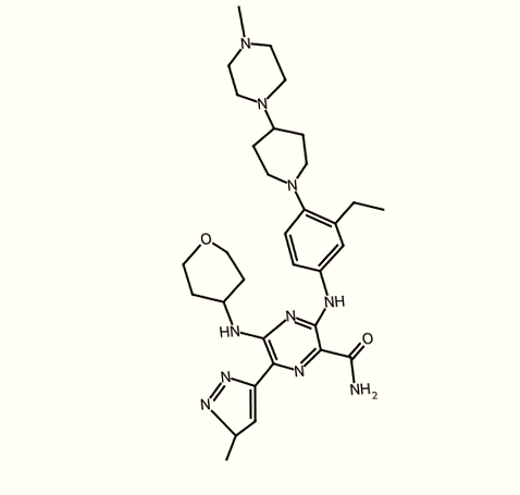 CCc1cc(Nc2nc(NC3CCOCC3)c(C3=CC(C)N=N3)nc2C(N)=O)ccc1N1CCC(N2CCN(C)CC2)CC1